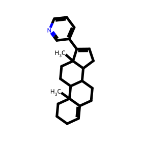 CC12CCCC=C1CCC1C2CCC2(C)C(c3cccnc3)=CCC12